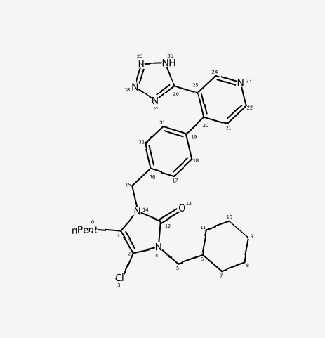 CCCCCc1c(Cl)n(CC2CCCCC2)c(=O)n1Cc1ccc(-c2ccncc2-c2nnn[nH]2)cc1